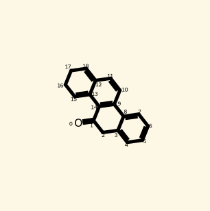 O=C1Cc2ccccc2-c2ccc3c(c21)=CCCC=3